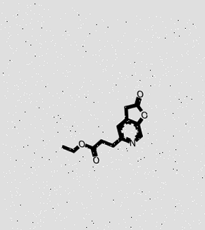 CCOC(=O)CCc1cc2c(cn1)OC(=O)C2